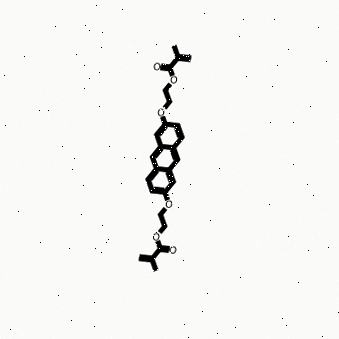 C=C(C)C(=O)OCCOc1ccc2cc3cc(OCCOC(=O)C(=C)C)ccc3cc2c1